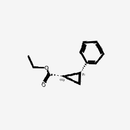 CCOC(=O)[C@H]1C[C@H]1c1ccccc1